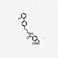 O=C(NCCCc1ccc(-c2ccccc2F)cc1)c1ccc2cn[nH]c2c1